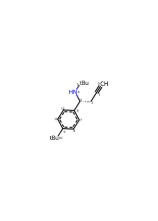 C#CC[C@@H](NC(C)(C)C)c1ccc(C(C)(C)C)cc1